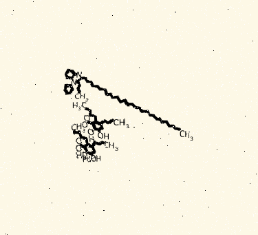 CCCCCCCCCCCCCCCCCCCCCCCCCCCCCCC(=Nc1ccccc1)C(CCCC)=Nc1ccccc1.CCCCCc1c(CCCC)cc(O)c(O)c1C(=O)[O-].CCCCCc1c(CCCC)cc(O)c(O)c1C(=O)[O-].[Pd+2]